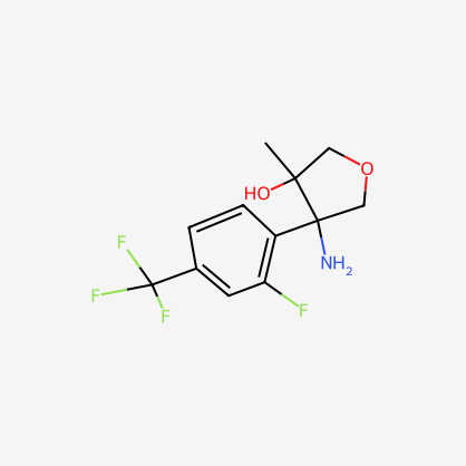 CC1(O)COCC1(N)c1ccc(C(F)(F)F)cc1F